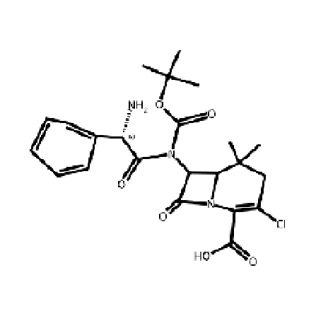 CC(C)(C)OC(=O)N(C(=O)[C@@H](N)c1ccccc1)C1C(=O)N2C(C(=O)O)=C(Cl)CC(C)(C)C12